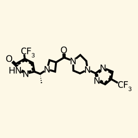 C[C@H](c1cc(C(F)(F)F)c(=O)[nH]n1)N1CC(C(=O)N2CCN(c3ncc(C(F)(F)F)cn3)CC2)C1